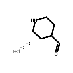 Cl.Cl.Cl.O=CC1CCNCC1